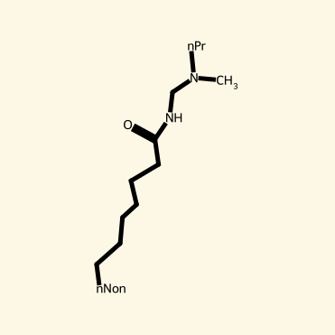 CCCCCCCCCCCCCCCC(=O)NCN(C)CCC